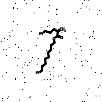 C=C(CCCC(C)C)C(=O)OCCCCCCCCCC(C)C